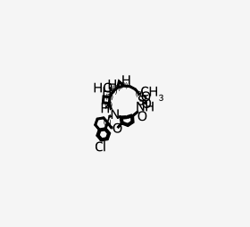 C[C@@H]1CC[C@@H]2C[C@H]2[C@H](O)[C@@H]2CC[C@H]2CN2C[C@@]3(CCCc4cc(Cl)ccc43)COc3ccc(cc32)C(=O)NS1(=O)=O